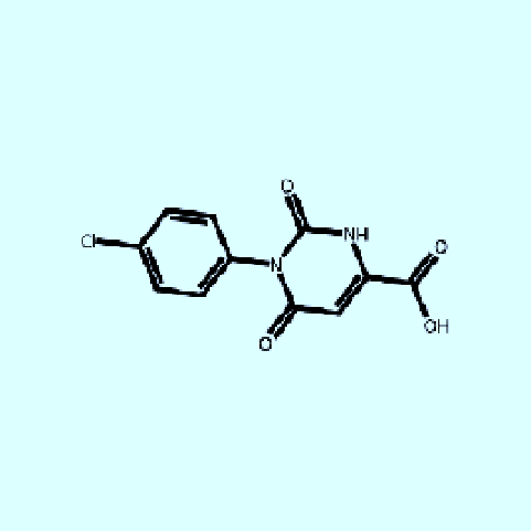 O=C(O)c1cc(=O)n(-c2ccc(Cl)cc2)c(=O)[nH]1